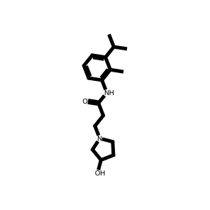 Cc1c(NC(=O)CCN2CCC(O)C2)cccc1C(C)C